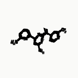 Nc1cccc(-c2nc(N)nc(Nc3ccnc(C(F)(F)F)c3)n2)n1